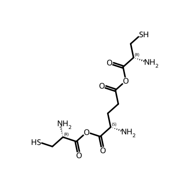 N[C@@H](CS)C(=O)OC(=O)CC[C@H](N)C(=O)OC(=O)[C@@H](N)CS